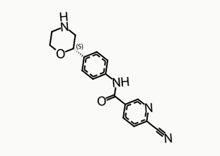 N#Cc1ccc(C(=O)Nc2ccc([C@H]3CNCCO3)cc2)cn1